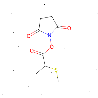 CSC(C)C(=O)ON1C(=O)CCC1=O